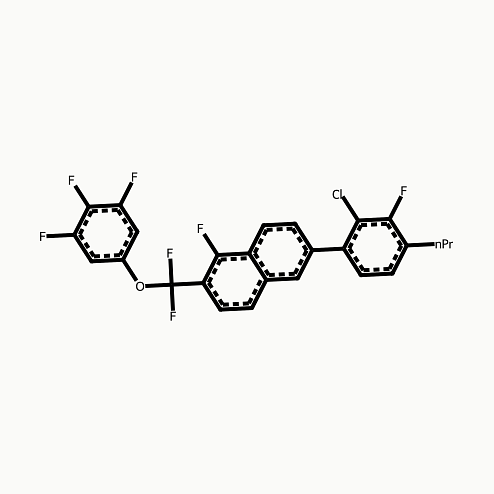 CCCc1ccc(-c2ccc3c(F)c(C(F)(F)Oc4cc(F)c(F)c(F)c4)ccc3c2)c(Cl)c1F